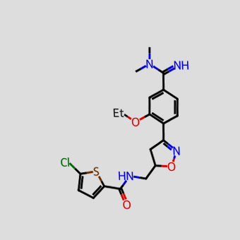 CCOc1cc(C(=N)N(C)C)ccc1C1=NOC(CNC(=O)c2ccc(Cl)s2)C1